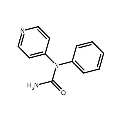 NC(=O)N(c1ccccc1)c1ccncc1